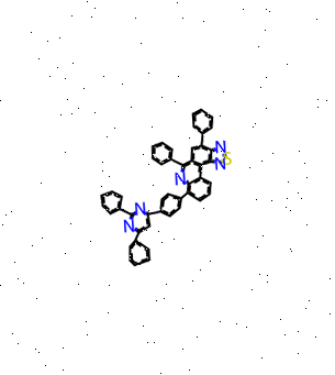 c1ccc(-c2cc(-c3ccc(-c4cccc5c4nc(-c4ccccc4)c4cc(-c6ccccc6)c6nsnc6c45)cc3)nc(-c3ccccc3)n2)cc1